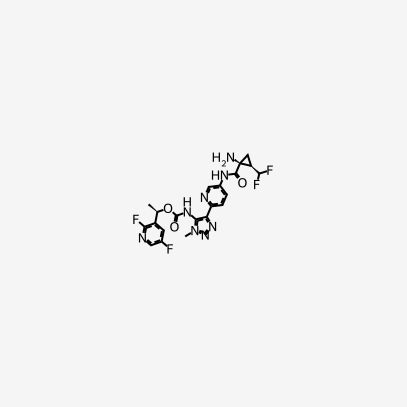 C[C@@H](OC(=O)Nc1c(-c2ccc(NC(=O)[C@]3(N)C[C@H]3C(F)F)cn2)nnn1C)c1cc(F)cnc1F